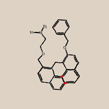 CCN(CC)CCOCc1ccc2ccccc2c1Cc1c(OCc2ccccc2)ccc2ccccc12